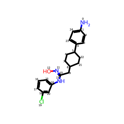 Nc1ccc(C2CCC(CC(=NO)Nc3cccc(Cl)c3)CC2)cc1